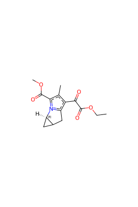 CCOC(=O)C(=O)c1c(C)c(C(=O)OC)n2c1CC1C[C@H]12